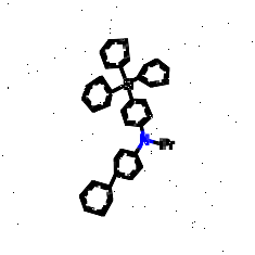 CC(C)N(c1ccc(-c2ccccc2)cc1)c1ccc([Si](c2ccccc2)(c2ccccc2)c2ccccc2)cc1